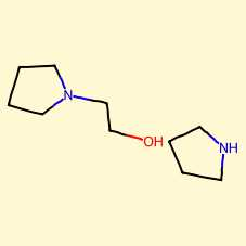 C1CCNC1.OCCN1CCCC1